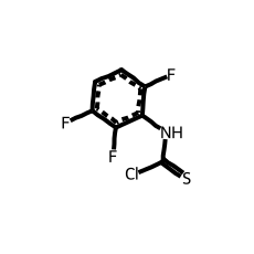 Fc1ccc(F)c(NC(=S)Cl)c1F